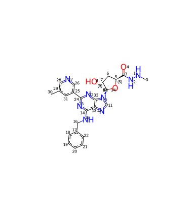 CNNC(=O)[C@@H]1C[C@@H](O)[C@H](n2cnc3c(NCc4ccccc4)nc(-c4cncc(C)c4)nc32)O1